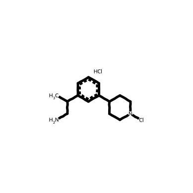 CC(CN)c1cccc(C2CCN(Cl)CC2)c1.Cl